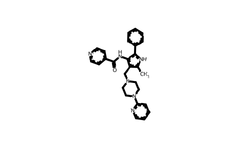 Cc1[nH]c(-c2ccccc2)c(NC(=O)c2ccncc2)c1CN1CCN(c2ccccn2)CC1